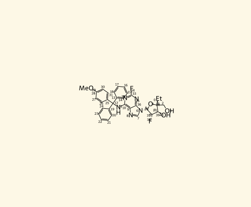 CC[C@]1(CO)O[C@@H](n2cnc3c(NC(c4ccccc4)(c4ccccc4)c4ccc(OC)cc4)nc(F)nc32)[C@@H](F)[C@@H]1O